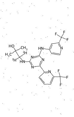 [2H]C([2H])(Nc1nc(Nc2ccnc(C(F)(F)F)c2)nc(-c2cccc(C(F)(F)F)n2)n1)C(C)(C)O